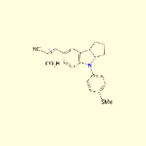 CSc1ccc(N2c3ccc(/C=C(/C#N)C(=O)O)cc3C3CCCC32)cc1